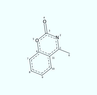 Cc1nc(=O)oc2ccccc12